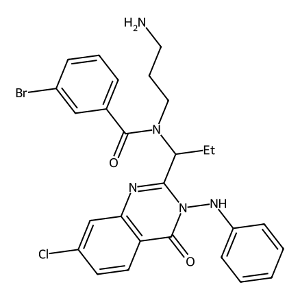 CCC(c1nc2cc(Cl)ccc2c(=O)n1Nc1ccccc1)N(CCCN)C(=O)c1cccc(Br)c1